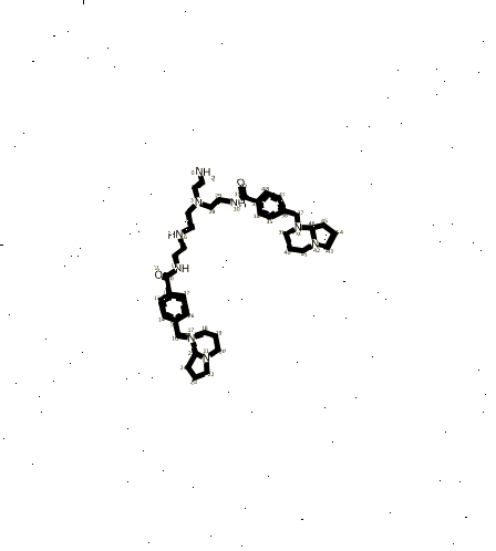 NCCN(CCNCCNC(=O)c1ccc(CN2CCCN3CCCC32)cc1)CCNC(=O)c1ccc(CN2CCCN3CCCC32)cc1